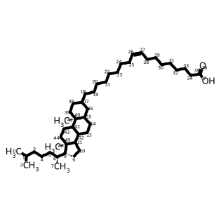 CC(C)CCC[C@@H](C)[C@H]1CCC2C3CCC4CC(CCCCCCCC/C=C\CCCCCCCC(=O)O)CC[C@]4(C)C3CC[C@@]21C